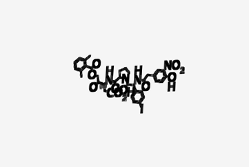 Cc1cccc(C)c1C(=O)OCC(=O)[C@H](CC(=O)O)NC(=O)C1CCCN1C(=O)C(NC(=O)Cc1ccc(O)c([N+](=O)[O-])c1)c1ccc(I)cc1